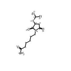 BC(=O)CCCCCN1C(=O)CC(SC(CC)CC)C1=O